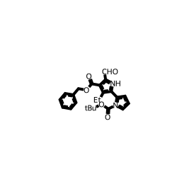 CCc1c(-c2cccn2C(=O)OC(C)(C)C)[nH]c(C=O)c1C(=O)OCc1ccccc1